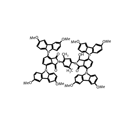 COc1ccc2c(c1)c1cc(OC)ccc1n2-c1ccc(-n2c3ccc(OC)cc3c3cc(OC)ccc32)c2c1C(=O)N(c1cc(C)c(N3C(=O)c4c(-n5c6ccc(OC)cc6c6cc(OC)ccc65)ccc(-n5c6ccc(OC)cc6c6cc(OC)ccc65)c4C3O)cc1C)C2=O